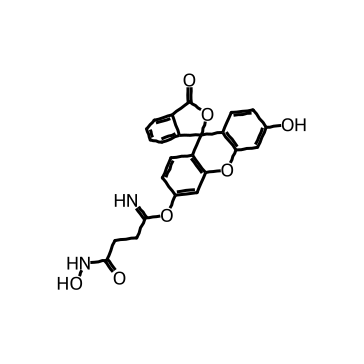 N=C(CCC(=O)NO)Oc1ccc2c(c1)Oc1cc(O)ccc1C21OC(=O)c2ccccc21